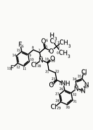 CC(C)(C)OC(=O)C(Cc1ccc(F)cc1F)N(Cl)C(=O)CCC(=O)Nc1cc(Cl)ccc1-n1cc(Cl)nn1